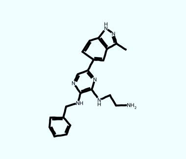 Cc1n[nH]c2ccc(-c3cnc(NCc4ccccc4)c(NCCN)n3)cc12